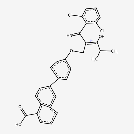 CC(C)/C(O)=C(\COc1ccc(-c2ccc3c(C(=O)O)cccc3c2)cc1)C(=N)c1c(Cl)cccc1Cl